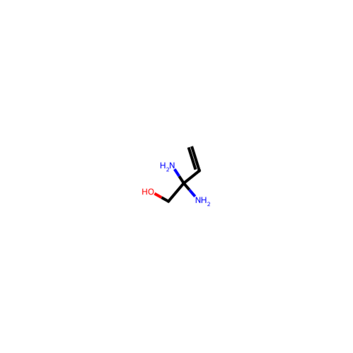 C=CC(N)(N)CO